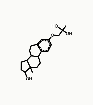 CC(O)(O)COc1ccc2c(c1)CCC1C2CCC2(C)C(O)CCC12